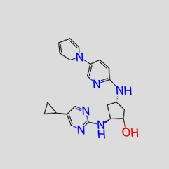 OC1C[C@@H](Nc2ccc(N3C=CC=CC3)cn2)C[C@@H]1Nc1ncc(C2CC2)cn1